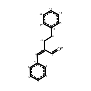 O=[C]C(=Cc1ccccc1)CCc1ccccc1